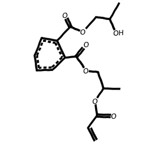 C=CC(=O)OC(C)COC(=O)c1ccccc1C(=O)OCC(C)O